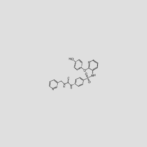 O=C(NCc1cccnc1)Nc1ccc(S(=O)(=O)Nc2cccnc2Oc2ccc(O)cc2)cc1